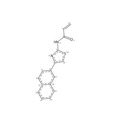 C=CC(=O)Nc1nc(-c2ccc3ccccc3c2)cs1